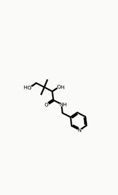 CC(C)(CO)C(O)C(=O)NCc1cccnc1